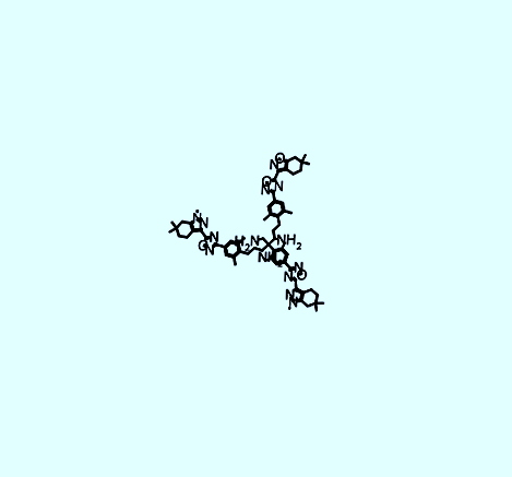 Cc1cc(-c2noc(-c3noc4c3CCC(C)(C)C4)n2)cc(C)c1CCC(N)C(CN)(c1c(C)cc(-c2noc(-c3nn(C)c4c3CCC(C)(C)C4)n2)cc1C)C(N)CCc1c(C)cc(-c2noc(-c3nn(C)c4c3CCC(C)(C)C4)n2)cc1C